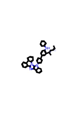 C/C=C\C=C(/C)c1cc(-c2ccc(N3c4c(nc5c6ccccc6c6ccccc6n45)C4=CC=CCC43)cc2)ccc1Nc1ccccc1